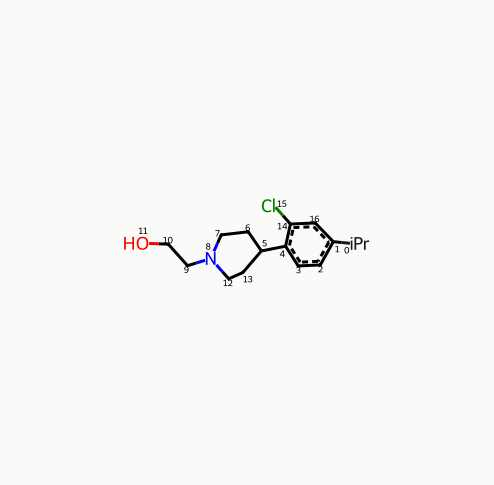 CC(C)c1ccc(C2CCN(CCO)CC2)c(Cl)c1